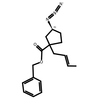 CC=CCC1(C(=O)OCc2ccccc2)CC[C@H](N=[N+]=[N-])C1